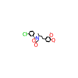 COc1ccc(CCC(C)N2CC(=O)O[C@H]2c2cccc(Cl)c2)cc1OC